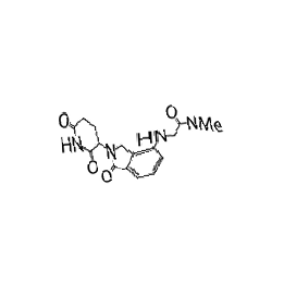 CNC(=O)CNc1cccc2c1CN(C1CCC(=O)NC1=O)C2=O